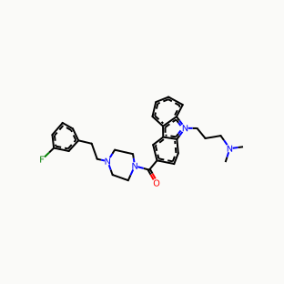 CN(C)CCCn1c2ccccc2c2cc(C(=O)N3CCN(CCc4cccc(F)c4)CC3)ccc21